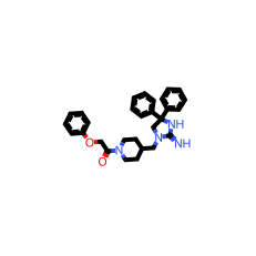 N=C1NC(c2ccccc2)(c2ccccc2)CN1CC1CCN(C(=O)COc2ccccc2)CC1